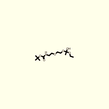 CCOC(C)(O)OCCOCCNC(=O)OC(C)(C)C